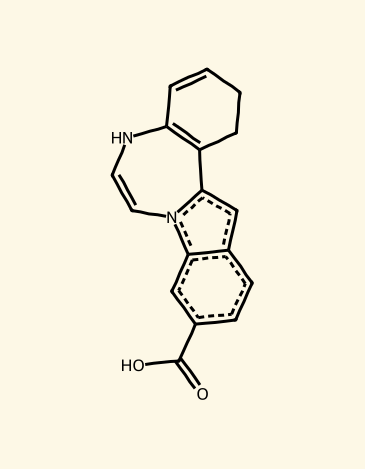 O=C(O)c1ccc2cc3n(c2c1)C=CNC1=C3CCC=C1